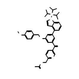 COc1ccc(COc2cc(C(=O)c3ccc(COC(C)=O)nc3)cc(-c3cccc4c3ccn4[Si](C(C)C)(C(C)C)C(C)C)c2)cc1